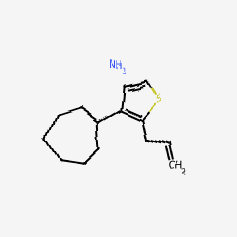 C=CCc1sccc1C1CCCCCC1.N